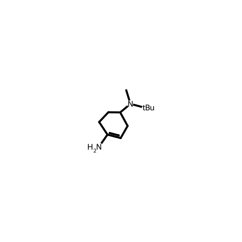 CN(C1CC=C(N)CC1)C(C)(C)C